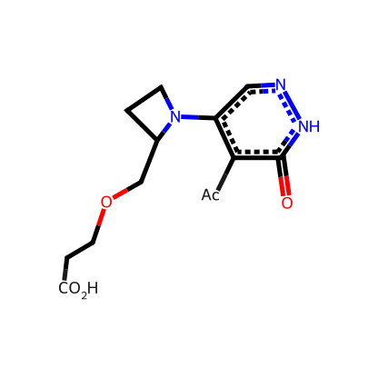 CC(=O)c1c(N2CCC2COCCC(=O)O)cn[nH]c1=O